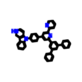 C1=Cc2c(c3ccccc3n2-c2ccc(-c3cc(-c4cc(-c5ccccc5)cc(-c5ccccc5)c4)nc(-c4ccccn4)c3)cc2)CN1